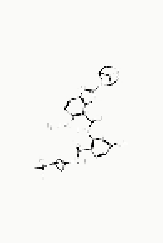 COc1ccc2nc(N3C4COCC3C4)sc2c1C(=O)Nc1cc(C)ccc1C(=O)NC12CC(C(F)(F)F)(C1)C2